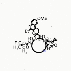 CCc1nc2ccc(OC)cc2c2c1O[C@]1(CC2)C[C@H]2C(=O)N[C@]3(C(=O)N4C5(CC5)S4(=O)=O)C[C@H]3/C=C\CCCCC[C@H](NC(=O)OC(C)(C)C(F)(F)F)C(=O)N2C1